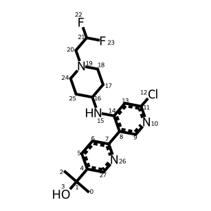 CC(C)(O)c1ccc(-c2cnc(Cl)cc2NC2CCN(CC(F)F)CC2)nc1